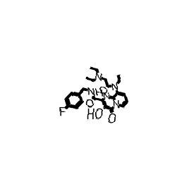 CCN(CC)CC(=O)N(CC)c1cccn2c(=O)c(O)c(C(=O)NCc3ccc(F)cc3)nc12